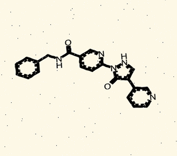 O=C(NCc1ccccc1)c1ccc(-n2[nH]cc(-c3cccnc3)c2=O)nc1